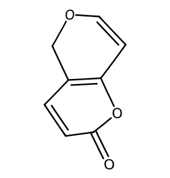 O=c1ccc2c(o1)C=COC2